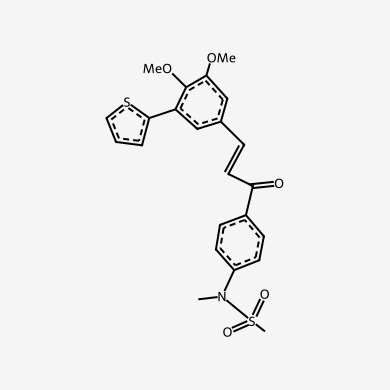 COc1cc(/C=C/C(=O)c2ccc(N(C)S(C)(=O)=O)cc2)cc(-c2cccs2)c1OC